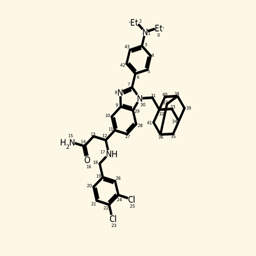 [CH2][CH]N([CH][CH2])c1ccc(-c2nc3cc(C(CC(N)=O)NCc4ccc(Cl)c(Cl)c4)ccc3n2CC23CC4CC(CC(C4)C2)C3)cc1